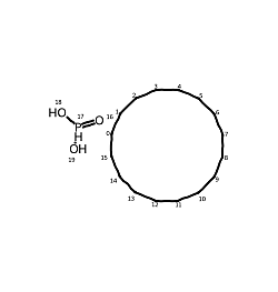 C1CCCCCCCCCCCCCCC1.O=[PH](O)O